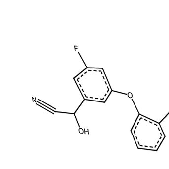 N#CC(O)c1cc(F)cc(Oc2ccccc2F)c1